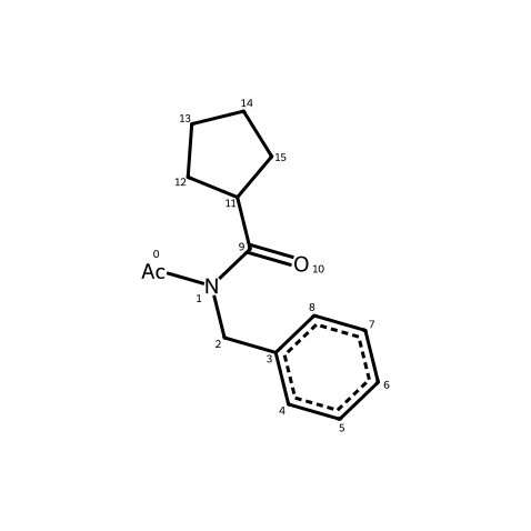 CC(=O)N(Cc1ccccc1)C(=O)C1CCCC1